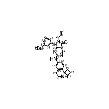 C=CCn1c(=O)c2cnc(Nc3ccc4c(c3)CCNC43CCC3)nc2n1-c1ccnc(C(C)(C)C)c1